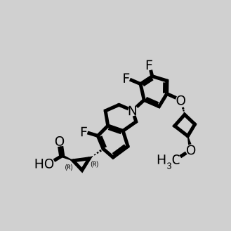 CO[C@H]1C[C@H](Oc2cc(F)c(F)c(N3CCc4c(ccc([C@@H]5C[C@H]5C(=O)O)c4F)C3)c2)C1